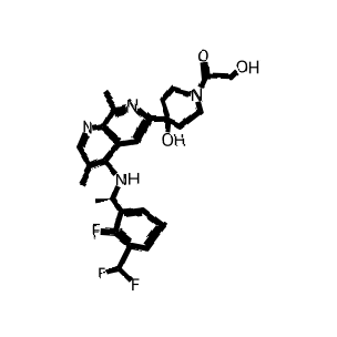 Cc1nc(C2(O)CCN(C(=O)CO)CC2)cc2c1N=CC(C)C2N[C@H](C)c1cccc(C(F)F)c1F